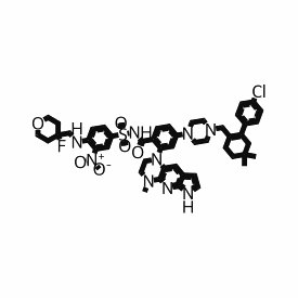 CN1CCN(c2cc(N3CCN(CC4=C(c5ccc(Cl)cc5)CC(C)(C)CC4)CC3)ccc2C(=O)NS(=O)(=O)c2ccc(NCC3(F)CCOCC3)c([N+](=O)[O-])c2)c2cc3cc[nH]c3nc21